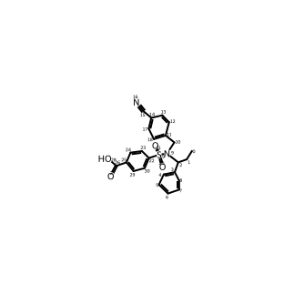 CCC(c1ccccc1)N(Cc1ccc(C#N)cc1)S(=O)(=O)c1ccc(C(=O)O)cc1